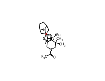 CC(C)(C)OC(=O)N1CC2CCC(C1)N2c1nc2c(s1)CN(C(=O)C(F)(F)F)CC2(C)C